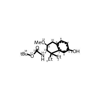 CCC1(CC)c2cc(O)ccc2C[C@H](OC)[C@H]1NC(=O)OC(C)(C)C